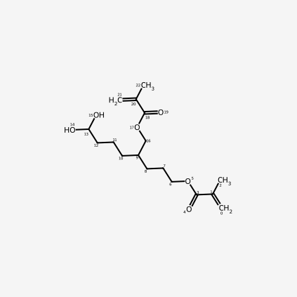 C=C(C)C(=O)OCCCC(CCCC(O)O)COC(=O)C(=C)C